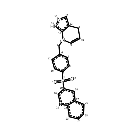 O=S(=O)(c1ccc(CN2C=CCc3cn[nH]c32)cc1)c1cnc2ccccc2c1